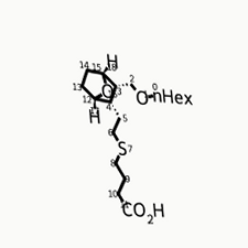 CCCCCCOC[C@@H]1[C@H](CCSCCCC(=O)O)[C@@H]2CC[C@H]1O2